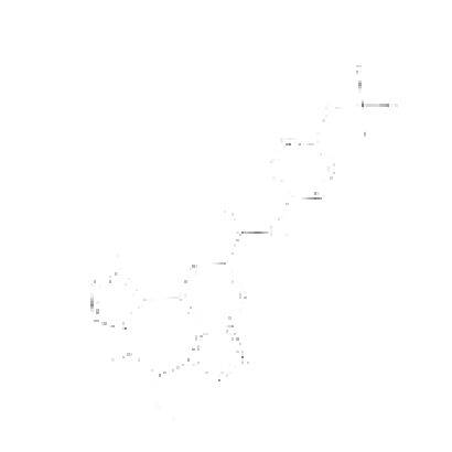 C[C@H](CF)n1cnc2cc(C(=O)Nc3ccc(OC(F)(F)Cl)cc3)cc(-c3ccn[nH]3)c21